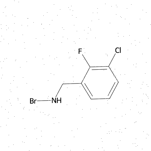 Fc1c(Cl)cccc1CNBr